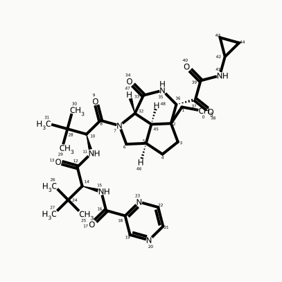 CCC12CC[C@H]3CN(C(=O)[C@@H](NC(=O)[C@@H](NC(=O)c4cnccn4)C(C)(C)C)C(C)(C)C)[C@H](C(=O)N[C@@H]1C(=O)C(=O)NC1CC1)[C@H]32